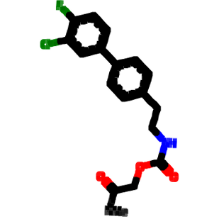 CNC(=O)COC(=O)NCCc1ccc(-c2ccc(F)c(Cl)c2)cc1